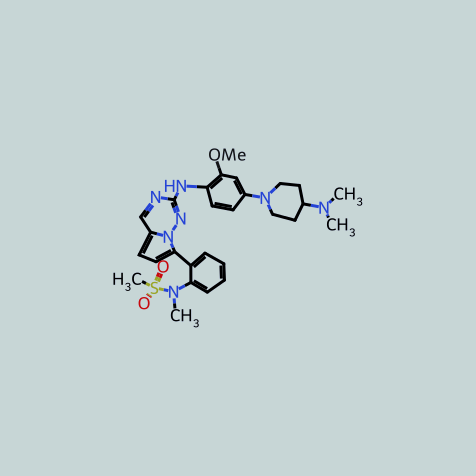 COc1cc(N2CCC(N(C)C)CC2)ccc1Nc1ncc2ccc(-c3ccccc3N(C)S(C)(=O)=O)n2n1